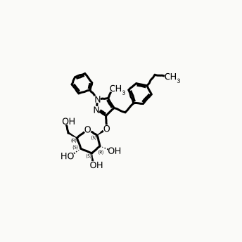 CCc1ccc(Cc2c(O[C@@H]3O[C@H](CO)[C@@H](O)[C@H](O)[C@H]3O)nn(-c3ccccc3)c2C)cc1